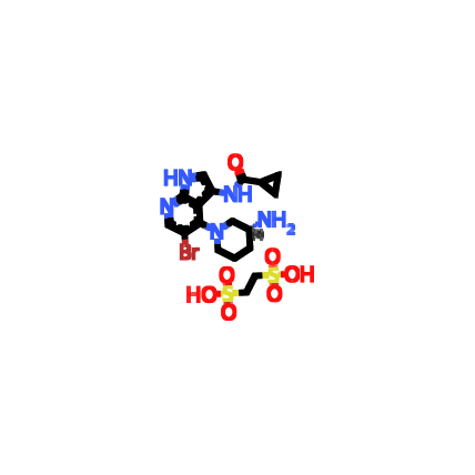 N[C@@H]1CCCN(c2c(Br)cnc3[nH]cc(NC(=O)C4CC4)c23)C1.O=S(=O)(O)CCS(=O)(=O)O